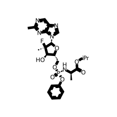 Cc1ncc2ncn([C@@H]3O[C@H](CO[P@@](=O)(N[C@H](C)C(=O)OC(C)C)Oc4ccccc4)[C@@H](O)[C@@]3(C)F)c2n1